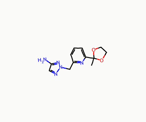 CC1(c2cccc(Cn3ncc(N)n3)n2)OCCO1